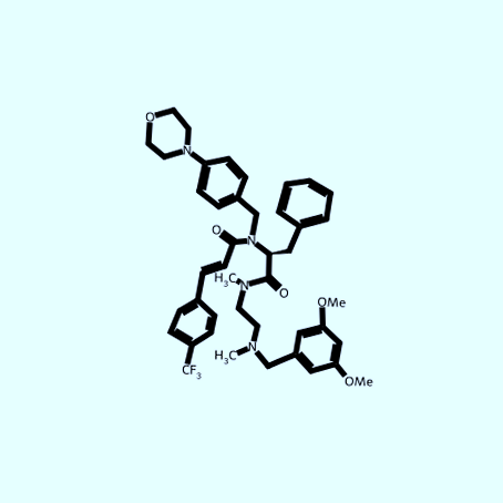 COc1cc(CN(C)CCN(C)C(=O)[C@H](Cc2ccccc2)N(Cc2ccc(N3CCOCC3)cc2)C(=O)C=Cc2ccc(C(F)(F)F)cc2)cc(OC)c1